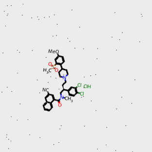 COc1ccc(C2CCN(CC[C@H](CN(C)C(=O)c3cc(C#N)cc4ccccc34)c3ccc(Cl)c(Cl)c3)CC2)c(S(C)(=O)=O)c1.Cl